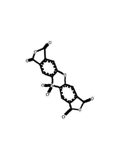 O=C1OC(=O)c2cc3c(cc21)Oc1cc2c(cc1S3(=O)=O)C(=O)OC2=O